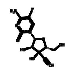 C#C[C@@]1(O)[C@@H](CO)O[C@@H](n2cc(F)c(N)nc2=O)[C@@H]1O